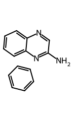 Nc1cnc2ccccc2n1.c1ccccc1